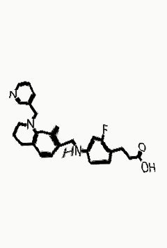 Cc1c(CNc2ccc(CCC(=O)O)c(F)c2)ccc2c1N(Cc1cccnc1)CCC2